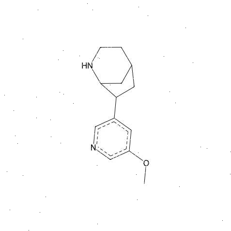 COc1cncc(C2CC3CCNC2C3)c1